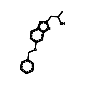 CC(O)Cn1cc2ccc(OCc3ccccc3)cc2n1